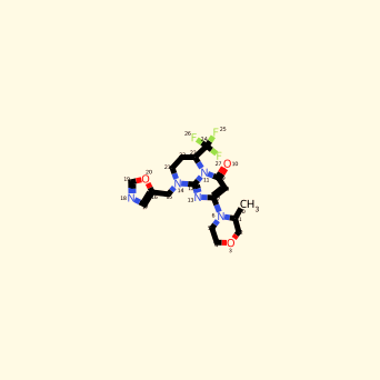 CC1COCCN1c1cc(=O)n2c(n1)N(Cc1cnco1)CCC2C(F)(F)F